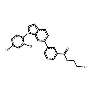 O=C(NCCO)c1cccc(-c2ccc3ccn(-c4ccc(Cl)cc4Cl)c3c2)c1